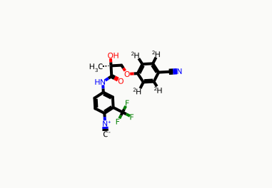 [2H]c1c([2H])c(OC[C@](C)(O)C(=O)Nc2ccc([N+]#[C-])c(C(F)(F)F)c2)c([2H])c([2H])c1C#N